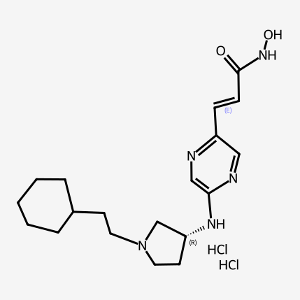 Cl.Cl.O=C(/C=C/c1cnc(N[C@@H]2CCN(CCC3CCCCC3)C2)cn1)NO